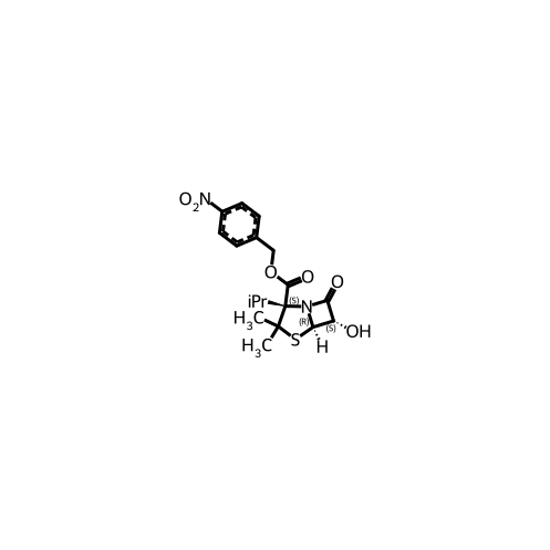 CC(C)[C@@]1(C(=O)OCc2ccc([N+](=O)[O-])cc2)N2C(=O)[C@H](O)[C@H]2SC1(C)C